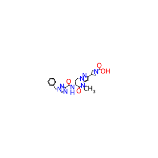 CN1C(=O)[C@H](NC(=O)c2ncn(Cc3ccccc3)n2)CCn2nc(C3CN(C(=O)O)C3)cc21